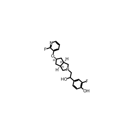 Oc1ccc(C(O)CN2C[C@H]3C[C@@H](Oc4cccnc4F)C[C@H]3C2)cc1F